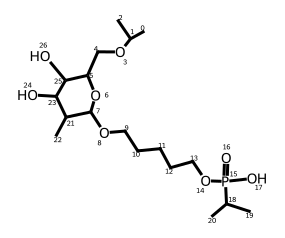 CC(C)OCC1OC(OCCCCCOP(=O)(O)C(C)C)C(C)C(O)C1O